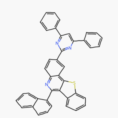 c1ccc(-c2cc(-c3ccccc3)nc(-c3ccc4nc(-c5cccc6ccccc56)c5c6ccccc6sc5c4c3)n2)cc1